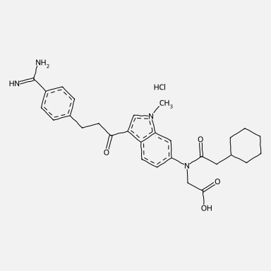 Cl.Cn1cc(C(=O)CCc2ccc(C(=N)N)cc2)c2ccc(N(CC(=O)O)C(=O)CC3CCCCC3)cc21